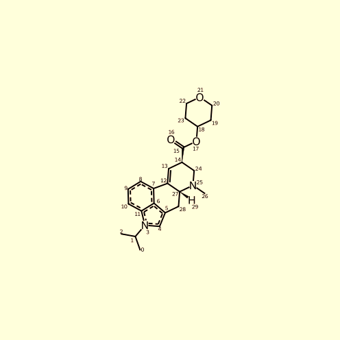 CC(C)n1cc2c3c(cccc31)C1=C[C@@H](C(=O)OC3CCOCC3)CN(C)[C@@H]1C2